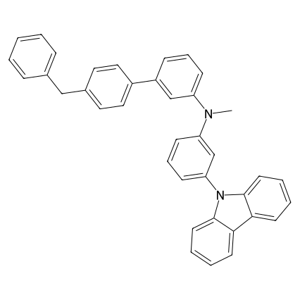 CN(c1cccc(-c2ccc(Cc3ccccc3)cc2)c1)c1cccc(-n2c3ccccc3c3ccccc32)c1